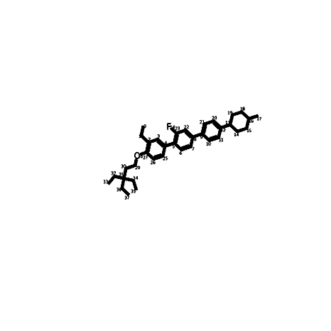 CCc1cc(-c2ccc(-c3ccc(C4CCC(C)CC4)cc3)cc2F)ccc1OCCC(CC)(CC)CC